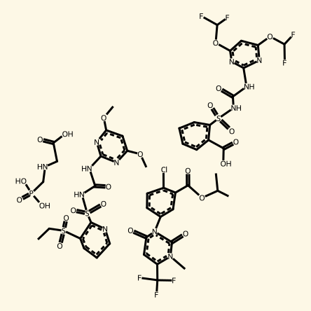 CC(C)OC(=O)c1cc(-n2c(=O)cc(C(F)(F)F)n(C)c2=O)ccc1Cl.CCS(=O)(=O)c1cccnc1S(=O)(=O)NC(=O)Nc1nc(OC)cc(OC)n1.O=C(Nc1nc(OC(F)F)cc(OC(F)F)n1)NS(=O)(=O)c1ccccc1C(=O)O.O=C(O)CNCP(=O)(O)O